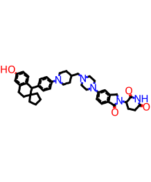 O=C1CCC(N2Cc3cc(N4CCN(CC5CCN(c6ccc(C7c8ccc(O)cc8CCC78CCCC8)cc6)CC5)CC4)ccc3C2=O)C(=O)N1